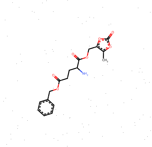 Cc1oc(=O)oc1COC(=O)C(N)CCC(=O)OCc1ccccc1